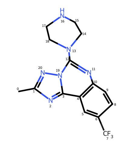 Cc1nc2c3cc(C(F)(F)F)ccc3nc(N3CCNCC3)n2n1